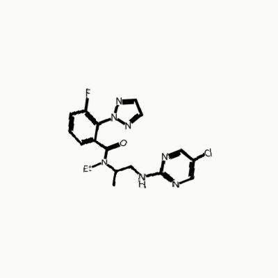 CCN(C(=O)c1cccc(F)c1-n1nccn1)C(C)CNc1ncc(Cl)cn1